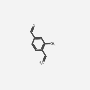 C=Cc1ccc(C=O)cc1C